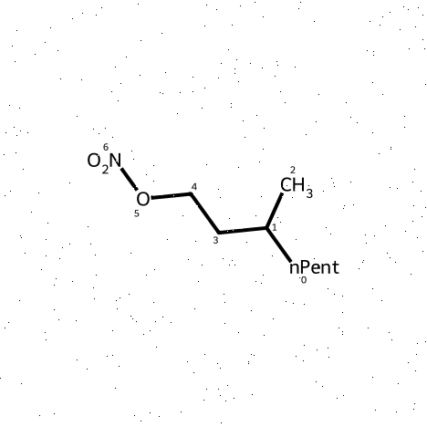 CCCCCC(C)CCO[N+](=O)[O-]